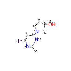 Cc1nc(I)cc(N2CC[C@H](O)C2)n1